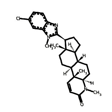 CN1C(=O)C=C[C@]2(C)[C@H]3CC[C@]4(C)[C@@H](c5nc6ccc(Cl)cc6n5C)CC[C@H]4[C@@H]3CC[C@@H]12